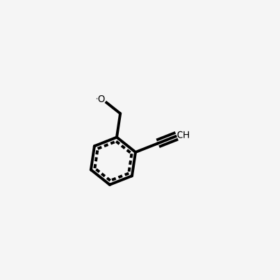 C#Cc1ccccc1C[O]